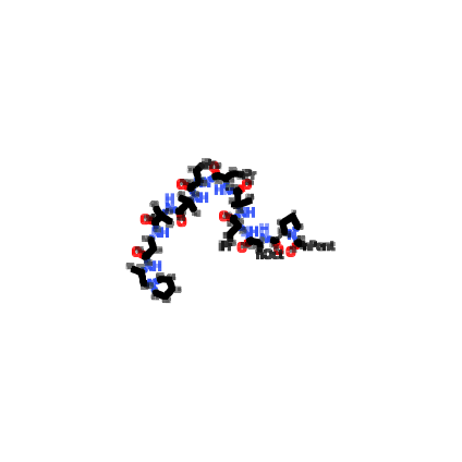 CCCCCCCCC(NC(=O)[C@@H]1CCCN1C(=O)CCCCC)C(=O)NC(CC(C)C)C(=O)NC(C)(C)C(=O)NC(CC(C)C)C(=O)NC(CC(C)C)C(=O)NC(C)(C)C(=O)NC(C)(C)C(=O)NCCC(=O)NC(C)CN1CCCCC1